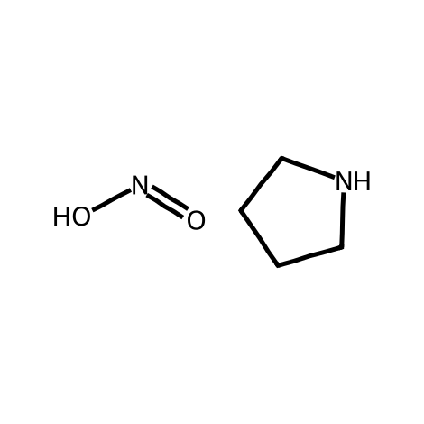 C1CCNC1.O=NO